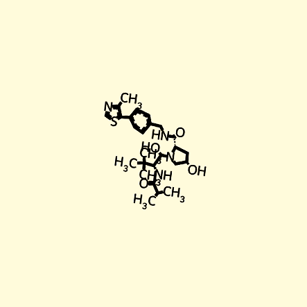 Cc1ncsc1-c1ccc(CNC(=O)[C@@H]2C[C@@H](O)CN2C(O)[C@@H](NC(=O)C(C)C)C(C)(C)C)cc1